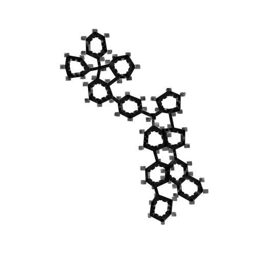 c1ccc(-c2ccc(-c3ccc(N(c4ccc(-c5cccc6c5-c5ccccc5C6(c5ccccc5)c5ccccc5)cc4)c4ccccc4-c4ccc(-c5ccc6ccccc6c5)cc4)cc3)cc2)cc1